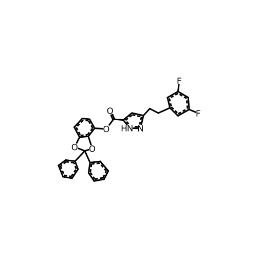 O=C(Oc1cccc2c1OC(c1ccccc1)(c1ccccc1)O2)c1cc(CCc2cc(F)cc(F)c2)n[nH]1